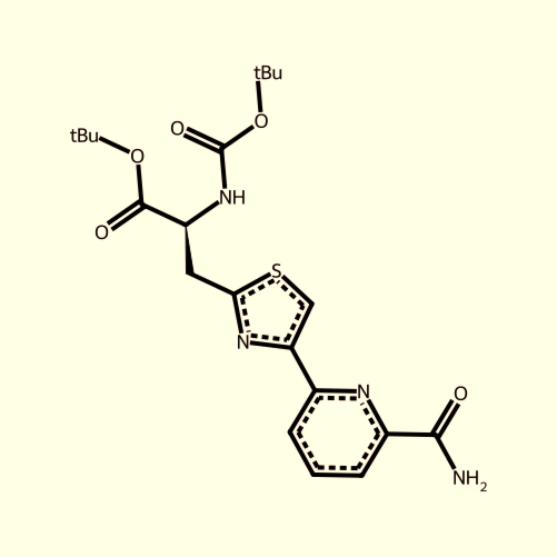 CC(C)(C)OC(=O)N[C@@H](Cc1nc(-c2cccc(C(N)=O)n2)cs1)C(=O)OC(C)(C)C